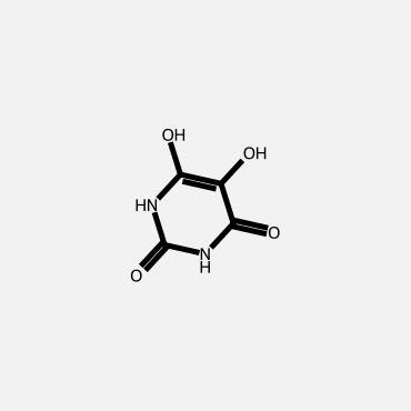 O=c1[nH]c(O)c(O)c(=O)[nH]1